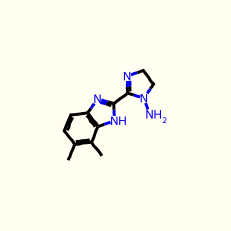 Cc1ccc2nc(C3=NCCN3N)[nH]c2c1C